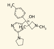 Cc1ccc([C@](O)(c2cncc(N3CCCC3)c2)C2(C)CN(C)C2)cc1